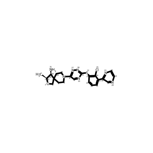 C[C@@H]1OCC2(CCN(c3cnc(Sc4cccc(-c5cnccn5)c4Cl)nn3)CC2)[C@@H]1N